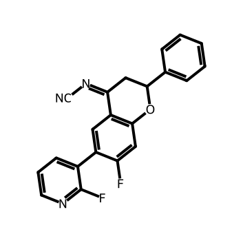 N#C/N=C1/CC(c2ccccc2)Oc2cc(F)c(-c3cccnc3F)cc21